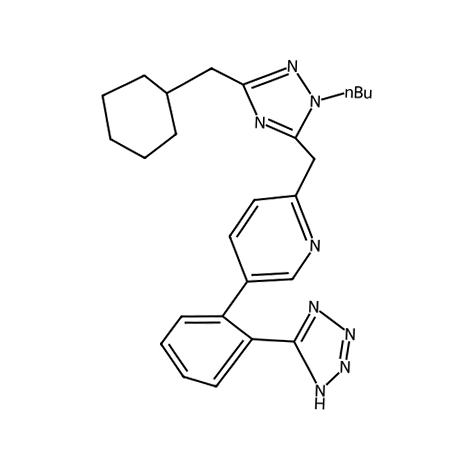 CCCCn1nc(CC2CCCCC2)nc1Cc1ccc(-c2ccccc2-c2nnn[nH]2)cn1